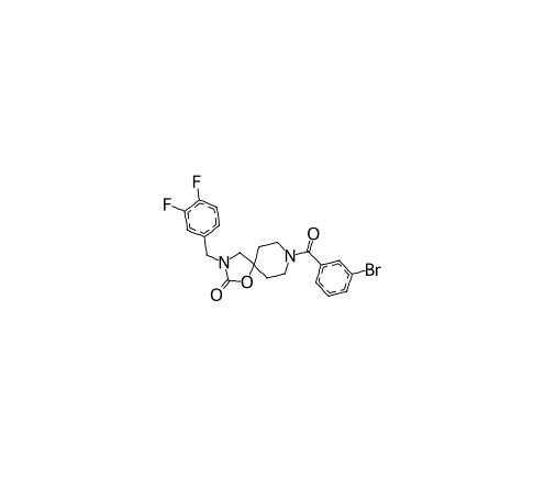 O=C1OC2(CCN(C(=O)c3cccc(Br)c3)CC2)CN1Cc1ccc(F)c(F)c1